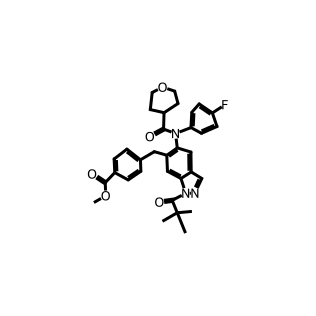 COC(=O)c1ccc(Cc2cc3c(cnn3C(=O)C(C)(C)C)cc2N(C(=O)C2CCOCC2)c2ccc(F)cc2)cc1